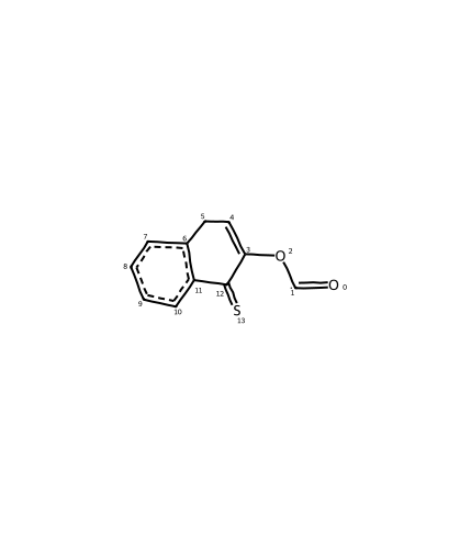 O=[C]OC1=CCc2ccccc2C1=S